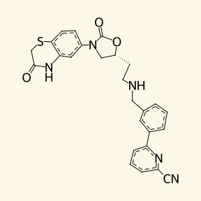 N#Cc1cccc(-c2cccc(CNCC[C@@H]3CN(c4ccc5c(c4)NC(=O)CS5)C(=O)O3)c2)n1